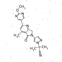 COc1ncc(-c2cc(C)c3c(n2)CN(c2cnn(C(C)(C)C#N)c2)C3=O)cn1